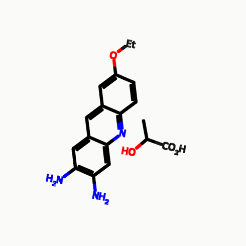 CC(O)C(=O)O.CCOc1ccc2nc3cc(N)c(N)cc3cc2c1